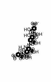 Nc1c(N=Nc2ccc3c(O)c(N=Nc4ccc([N+](=O)[O-])cc4C(=O)O)c(S(=O)(=O)O)cc3c2S(=O)(=O)O)cc(S(=O)(=O)O)c2cc(S(=O)(=O)O)c(N=Nc3ccc([N+](=O)[O-])cc3S(=O)(=O)O)c(O)c12